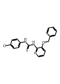 S=C(Nc1ccc(Cl)cc1)Nc1ncccc1OCc1ccccc1